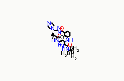 BC(B)(B)NC(=O)c1nnc(NC(=O)C2CC2)cc1Nc1cccc(-c2nc(CN3CCN(C)CC3)no2)c1OC